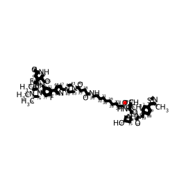 Cc1ncsc1-c1ccc(CNC(=O)[C@@H]2C[C@@H](O)CN2C(=O)[C@@H](NC(=O)CCCCCCCCCNC(=O)CCC(=O)N2CCN(c3ccc(-c4cc(NC(=O)c5c[nH]c(=O)cc5C(F)(F)F)c(N5C[C@@H](C)N(C)[C@@H](C)C5)cc4F)cn3)CC2)C(C)(C)C)cc1